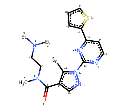 CCN(CC)CCN(C)C(=O)c1cnn(-c2nccc(-c3cccs3)n2)c1C(C)C